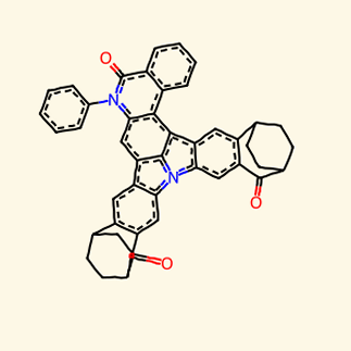 O=C1c2cc3c(cc2C2CCC1CC2)c1cc2c(c4ccccc4c(=O)n2-c2ccccc2)c2c4cc5c(cc4n3c12)C(=O)C1CCC5CC1